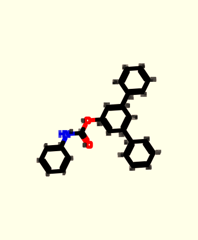 O=C(Nc1ccccc1)Oc1cc(-c2ccccc2)cc(-c2ccccc2)c1